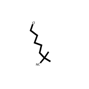 CC(C)(C#N)CCCCCCl